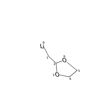 [Li][CH2]C1OCCO1